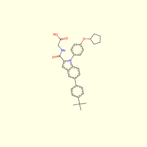 CC(C)(C)c1ccc(-c2ccc3c(c2)cc(C(=O)NCC(=O)O)n3-c2ccc(OC3CCCC3)cc2)cc1